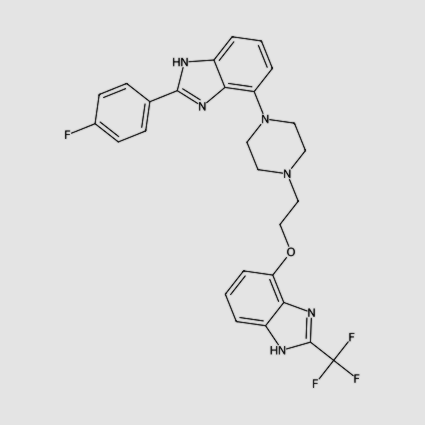 Fc1ccc(-c2nc3c(N4CCN(CCOc5cccc6[nH]c(C(F)(F)F)nc56)CC4)cccc3[nH]2)cc1